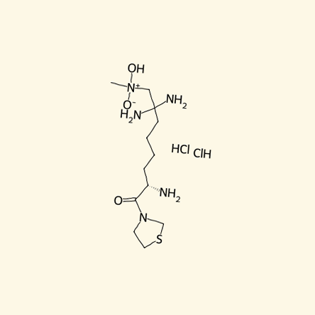 C[N+]([O-])(O)CC(N)(N)CCCC[C@H](N)C(=O)N1CCSC1.Cl.Cl